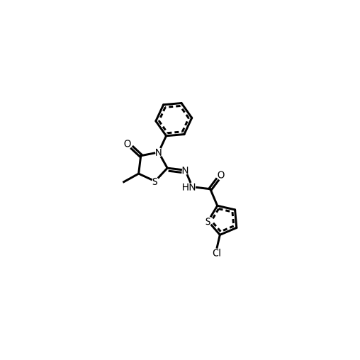 CC1S/C(=N\NC(=O)c2ccc(Cl)s2)N(c2ccccc2)C1=O